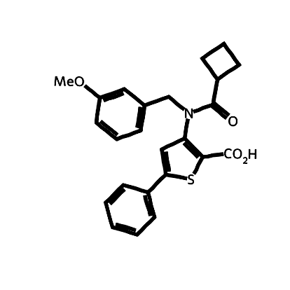 COc1cccc(CN(C(=O)C2CCC2)c2cc(-c3ccccc3)sc2C(=O)O)c1